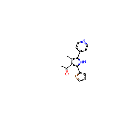 CC(=O)c1c(-c2cccs2)[nH]c(-c2ccncc2)c1C